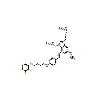 O=C(O)CCCc1cn(CC(=O)O)c2c(/C=C/c3ccc(OCCCCOc4cccc(F)c4F)cc3)cc(OC(F)(F)F)cc12